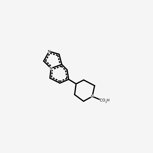 O=C(O)N1CCC(c2ccn3cncc3c2)CC1